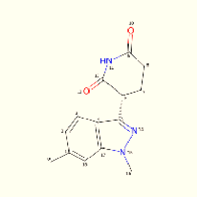 Cc1ccc2c([C@H]3CCC(=O)NC3=O)nn(C)c2c1